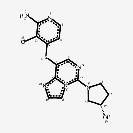 Nc1nccc(Sc2cnc(N3CC[C@H](O)C3)n3ccnc23)c1Cl